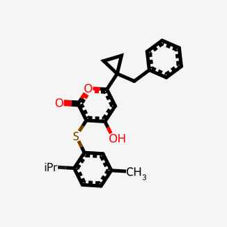 Cc1ccc(C(C)C)c(Sc2c(O)cc(C3(Cc4ccccc4)CC3)oc2=O)c1